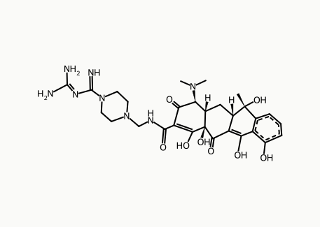 CN(C)[C@@H]1C(=O)C(C(=O)NCN2CCN(C(=N)N=C(N)N)CC2)=C(O)[C@@]2(O)C(=O)C3=C(O)c4c(O)cccc4[C@@](C)(O)[C@H]3C[C@@H]12